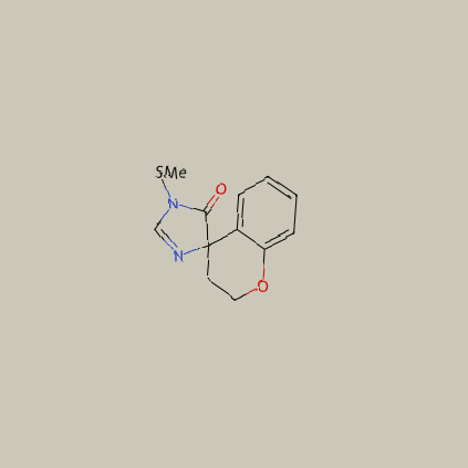 CSN1C=NC2(CCOc3ccccc32)C1=O